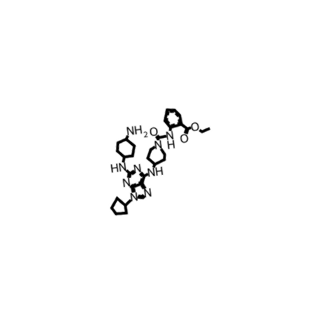 CCOC(=O)c1ccccc1NC(=O)N1CCC(Nc2nc(NC3CCC(N)CC3)nc3c2ncn3C2CCCC2)CC1